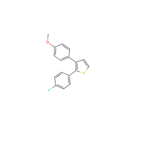 COc1ccc(-c2ccsc2-c2ccc(F)cc2)cc1